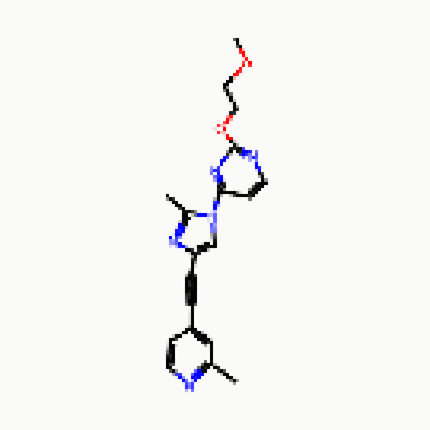 COCCOc1nccc(-n2cc(C#Cc3ccnc(C)c3)nc2C)n1